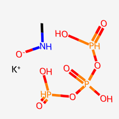 CN[O-].O=[PH](O)OP(=O)(O)O[PH](=O)O.[K+]